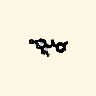 Cc1cccc(N(C)/C=C(\C=C/C=O)C(N)=O)c1